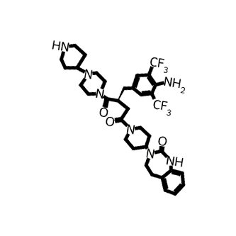 Nc1c(C(F)(F)F)cc(C[C@@H](CC(=O)N2CCC(N3CCc4ccccc4NC3=O)CC2)C(=O)N2CCN(C3CCNCC3)CC2)cc1C(F)(F)F